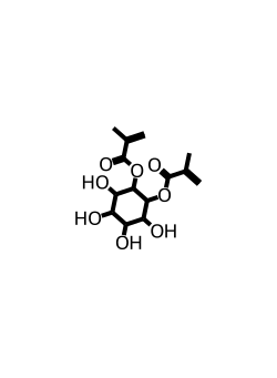 C=C(C)C(=O)OC1C(O)C(O)C(O)C(O)C1OC(=O)C(=C)C